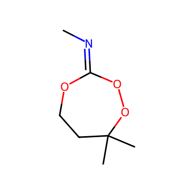 C/N=C1\OCCC(C)(C)OO1